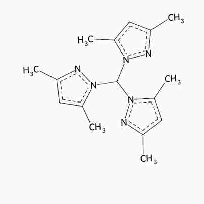 Cc1cc(C)n(C(n2nc(C)cc2C)n2nc(C)cc2C)n1